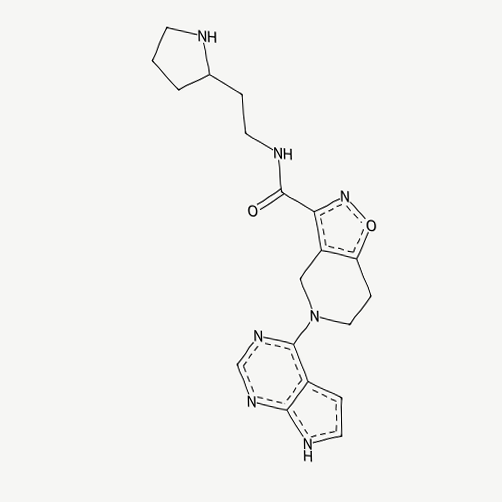 O=C(NCCC1CCCN1)c1noc2c1CN(c1ncnc3[nH]ccc13)CC2